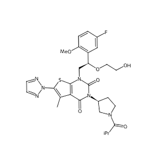 COc1ccc(F)cc1[C@H](Cn1c(=O)n([C@H]2CCN(C(=O)C(C)C)C2)c(=O)c2c(C)c(-n3nccn3)sc21)OCCO